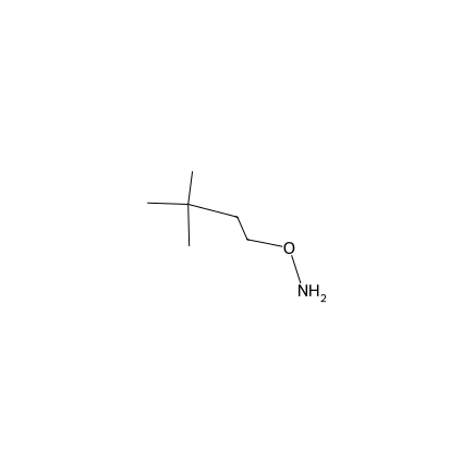 CC(C)(C)CCON